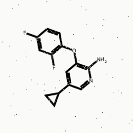 Nc1ncc(C2CC2)cc1Oc1ccc(F)cc1F